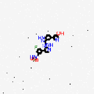 CS(=O)(=O)NCc1cc(F)cc(-c2ccnc3[nH]c(-c4n[nH]c5ccc(-c6cncc(O)c6)cc45)nc23)c1